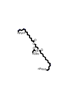 CCCCC/C=C\C/C=C\CCCCCCCC(=O)OCC(COC(=O)CCCCCCC/C=C\C/C=C\CCCCC)OC(=O)CCCCCCCCCCC